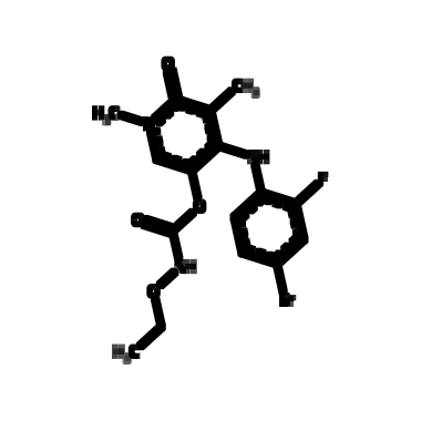 CCONC(=O)Oc1cn(C)c(=O)c(C)c1Nc1ccc(Br)cc1F